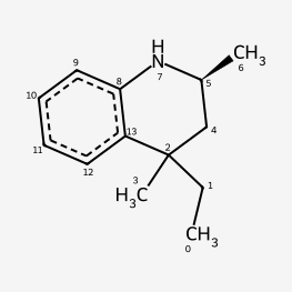 CCC1(C)C[C@H](C)Nc2ccccc21